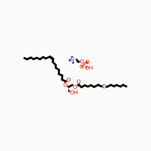 CCCCCCCC/C=C\CCCCCCCC(=O)O[C@@H](CO)COC(=O)CCCCCCCCCCCCCCC.C[N+](C)(C)CCOP(=O)([O-])O